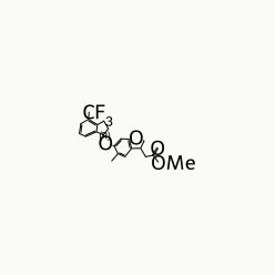 COC(=O)CC1COc2cc(O[C@@H]3CCc4c3cccc4C(F)(F)F)c(C)cc21